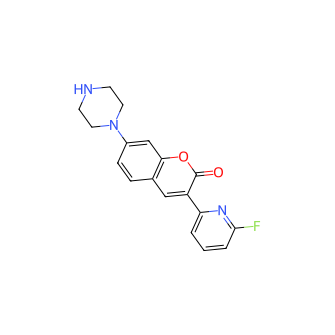 O=c1oc2cc(N3CCNCC3)ccc2cc1-c1cccc(F)n1